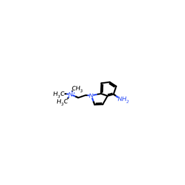 C[N+](C)(C)CCn1ccc2c(N)cccc21